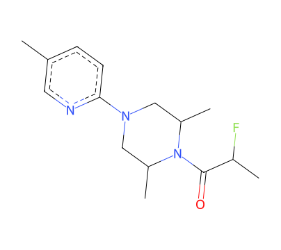 Cc1ccc(N2CC(C)N(C(=O)C(C)F)C(C)C2)nc1